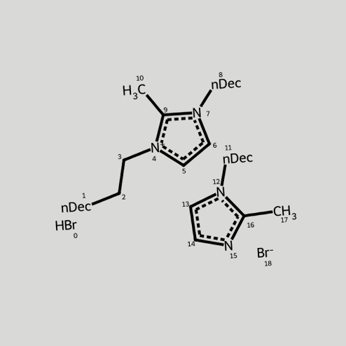 Br.CCCCCCCCCCCC[n+]1ccn(CCCCCCCCCC)c1C.CCCCCCCCCCn1ccnc1C.[Br-]